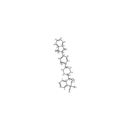 O=C(c1ccccc1C(F)(F)F)N1CCN(c2ccc(-c3nc4ccccc4[nH]3)cn2)CC1